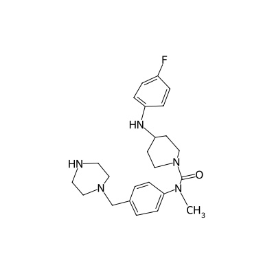 CN(C(=O)N1CCC(Nc2ccc(F)cc2)CC1)c1ccc(CN2CCNCC2)cc1